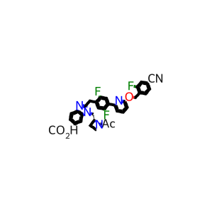 CC(=O)N1CC[C@@H]1Cn1c(Cc2cc(F)c(-c3cccc(OCc4ccc(C#N)cc4F)n3)cc2F)nc2ccc(C(=O)O)cc21